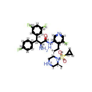 C[C@H]1CNC[C@H](CCc2c(F)cncc2NC(=O)C(N)C(c2ccc(F)cc2)c2cc(F)cc(F)c2)N1S(=O)(=O)C1CC1